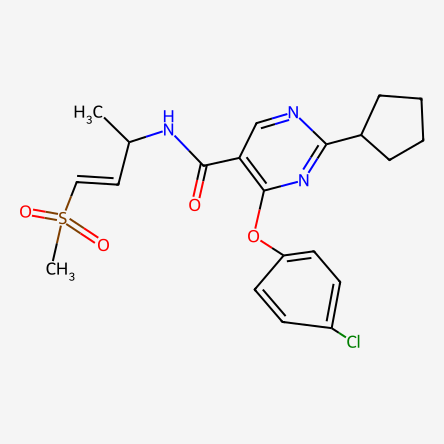 CC(C=CS(C)(=O)=O)NC(=O)c1cnc(C2CCCC2)nc1Oc1ccc(Cl)cc1